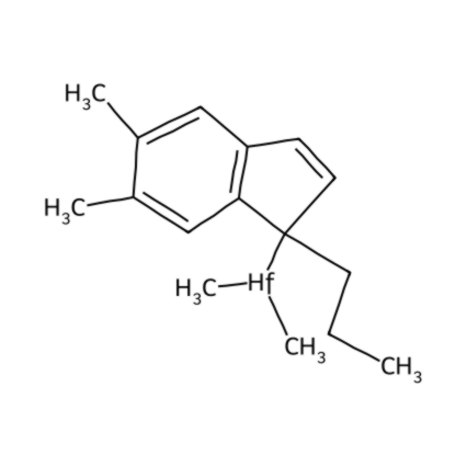 CCC[C]1([Hf]([CH3])[CH3])C=Cc2cc(C)c(C)cc21